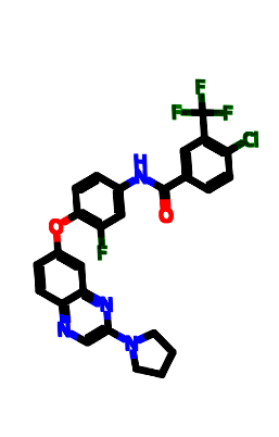 O=C(Nc1ccc(Oc2ccc3ncc(N4CCCC4)nc3c2)c(F)c1)c1ccc(Cl)c(C(F)(F)F)c1